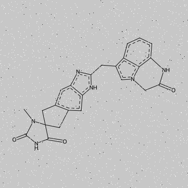 CN1C(=O)NC(=O)C12Cc1cc3nc(Cc4cn5c6c(cccc46)NC(=O)C5)[nH]c3cc1C2